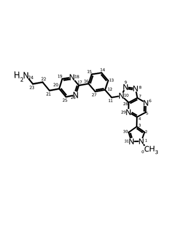 Cn1cc(-c2cnc3nnn(Cc4cccc(-c5ncc(CCCN)cn5)c4)c3n2)cn1